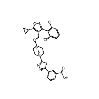 O=C(O)c1cccc(-c2nnc(C34CCC(OCc5c(-c6c(Cl)cccc6Cl)noc5C5CC5)(CC3)CC4)s2)c1